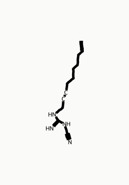 C=CCCCCCCCCNC(=N)NC#N